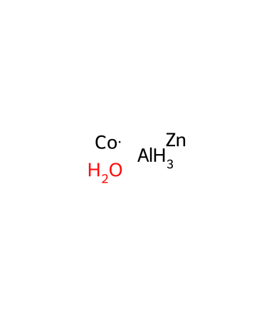 O.[AlH3].[Co].[Zn]